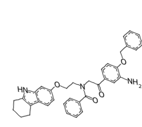 Nc1cc(C(=O)CN(CCOc2ccc3c4c([nH]c3c2)CCCC4)C(=O)c2ccccc2)ccc1OCc1ccccc1